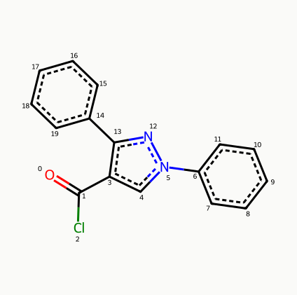 O=C(Cl)c1cn(-c2ccccc2)nc1-c1ccccc1